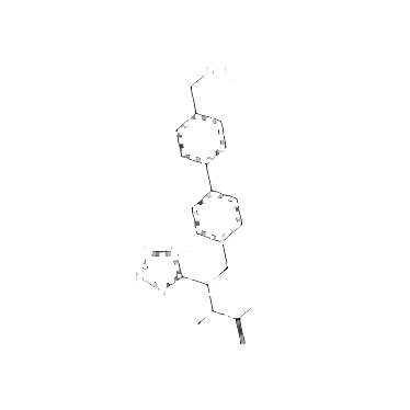 C=C(O)[C@@H](C(C)C)[C@H](Cc1ccc(-c2ccc(CN)cc2)cc1)c1nnn[nH]1